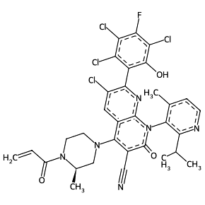 C=CC(=O)N1CCN(c2c(C#N)c(=O)n(-c3c(C)ccnc3C(C)C)c3nc(-c4c(O)c(Cl)c(F)c(Cl)c4Cl)c(Cl)cc23)C[C@H]1C